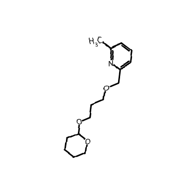 Cc1cccc(COCCCOC2CCCCO2)n1